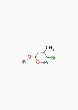 CC(=CC(OC(C)C)OC(C)C)CBr